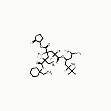 CCC1(OC(=O)C(C)(CC)CC(C)(CC(C)(C)C(=O)OC(CC(C)C)CC(O)(F)C(F)(F)F)C(=O)OC2CCOC2=O)CCCCC1